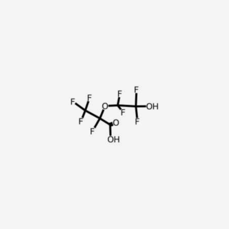 O=C(O)C(F)(OC(F)(F)C(O)(F)F)C(F)(F)F